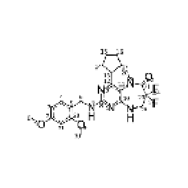 COc1ccc(CNc2nc3c(c(C4CCCC4)n2)N(C)C(=O)C(F)(F)CN3)c(OC)c1